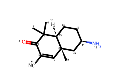 CC1(C)C(=O)C(C#N)=C[C@@]2(C)C[C@H](N)CC[C@H]12